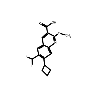 COc1nc2cc(C3CCC3)c(C(F)F)cc2cc1C(=O)O